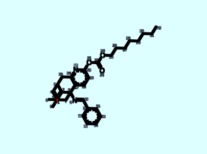 C/C=C1\C2C=C(C)CC1(/N=C/c1ccccc1)c1ccc(OC(=O)OCCCCCCCC)nc1C2